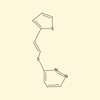 C(=C\c1cccs1)/Sc1cccnn1